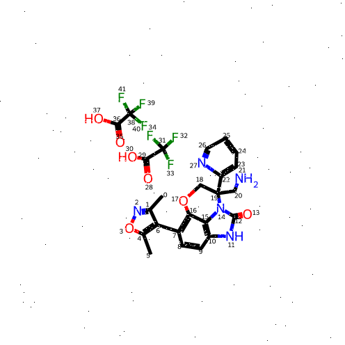 Cc1noc(C)c1-c1ccc2[nH]c(=O)n3c2c1OCC3(CN)c1ccccn1.O=C(O)C(F)(F)F.O=C(O)C(F)(F)F